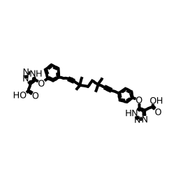 CC(C)(C#Cc1ccc(Oc2[nH]nnc2C(=O)O)cc1)CCC(C)(C)C#Cc1cccc(Oc2[nH]nnc2C(=O)O)c1